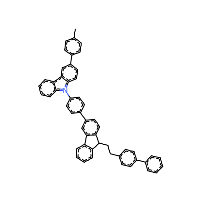 Cc1ccc(-c2ccc3c(c2)c2ccccc2n3-c2ccc(-c3ccc4c(c3)-c3ccccc3C4CCc3ccc(-c4ccccc4)cc3)cc2)cc1